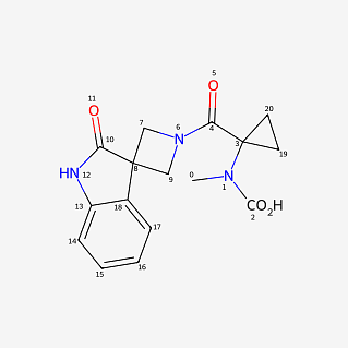 CN(C(=O)O)C1(C(=O)N2CC3(C2)C(=O)Nc2ccccc23)CC1